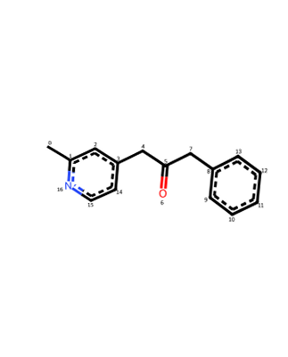 Cc1cc(CC(=O)Cc2ccccc2)ccn1